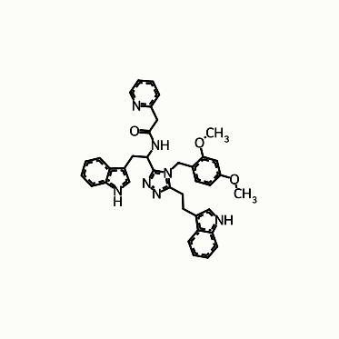 COc1ccc(Cn2c(CCc3c[nH]c4ccccc34)nnc2C(Cc2c[nH]c3ccccc23)NC(=O)Cc2ccccn2)c(OC)c1